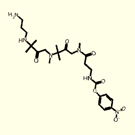 CN(CC(=O)C(C)(C)N(C)CC(=O)C(C)(C)NCCCN)C(=O)CCNC(=O)Oc1ccc([N+](=O)[O-])cc1